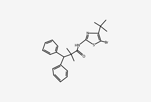 CC(C)(C)c1nc(NC(=O)C(C)(C)C(c2ccccc2)c2ccccc2)sc1Br